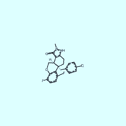 Cn1[nH]c2c(c1=O)[C@@H]1COc3c(F)ccc(F)c3[C@]1(Cc1ccc(Cl)cc1)CC2